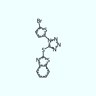 Brc1ccc(-n2nnnc2Sc2nc3ccccc3s2)s1